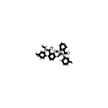 CCN(C(=O)c1ccccc1[Se][Se]c1ccccc1C(=O)N(CC)c1cccc(C)c1)c1cccc(C)c1